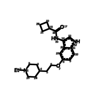 CCN1CCC(CCOc2ccc3[nH]cc(NC(=O)C4CCC4)c3c2)CC1